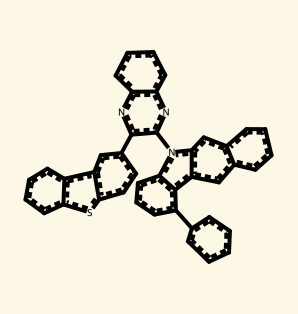 c1ccc(-c2cccc3c2c2cc4ccccc4cc2n3-c2nc3ccccc3nc2-c2ccc3sc4ccccc4c3c2)cc1